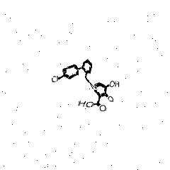 O=C(O)c1cn(Cc2ccccc2-c2ccc(Cl)cc2)cc(O)c1=O